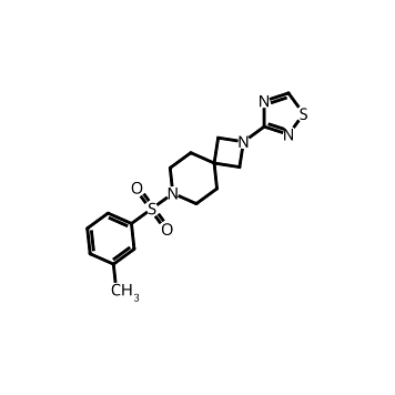 Cc1cccc(S(=O)(=O)N2CCC3(CC2)CN(c2ncsn2)C3)c1